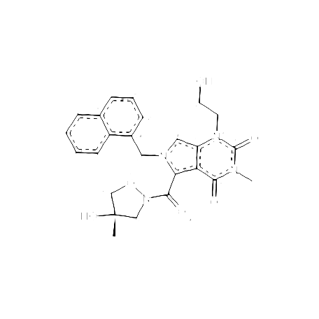 C[C@@H](CO)n1c(=O)n(C)c(=O)c2c(C(=O)N3C[C@](C)(O)CO3)n(Cc3cccc4ccccc34)cc21